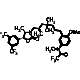 C=C(CN1C(=O)O[C@H](c2cc(C(F)(F)F)cc(C(F)(F)F)c2)[C@@H]1C)CC(C)(C)CCCc1cc(N(C)C(=O)C(F)(F)F)ccc1OC